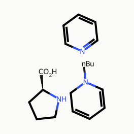 CCCCN1C=CC=CC1.O=C(O)[C@@H]1CCCN1.c1ccncc1